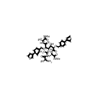 CNC(=O)[C@@H](NC(=O)[C@H](OCc1ccc(-c2ccsc2)cc1)[C@H](O)[C@@H](OC(C)OC(=O)[C@@H](N)C(C)C)[C@@H](OCc1ccc(-c2ccsc2)cc1)C(=O)N[C@H](C(=O)NC)C(C)C)C(C)C